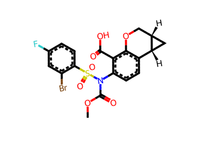 COC(=O)N(c1ccc2c(c1C(=O)O)OC[C@@H]1C[C@H]21)S(=O)(=O)c1ccc(F)cc1Br